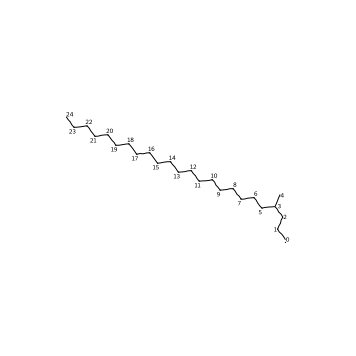 [CH2]CCC(C)CCCCCCCCCCCCCCCCCCCC